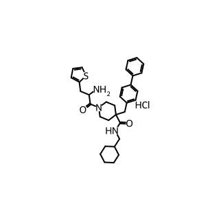 Cl.NC(Cc1cccs1)C(=O)N1CCC(Cc2ccc(-c3ccccc3)cc2)(C(=O)NCC2CCCCC2)CC1